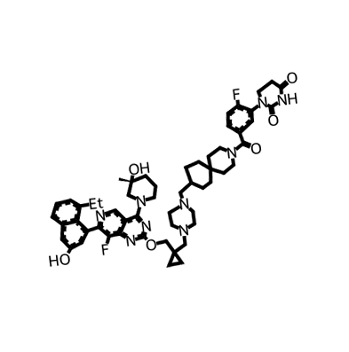 CCc1cccc2cc(O)cc(-c3ncc4c(N5CCC[C@@](C)(O)C5)nc(OCC5(CN6CCN(CC7CCC8(CC7)CCN(C(=O)c7ccc(F)c(N9CCC(=O)NC9=O)c7)CC8)CC6)CC5)nc4c3F)c12